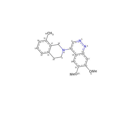 COc1cc2nncc(N3CCc4cccc(C)c4C3)c2cc1OC